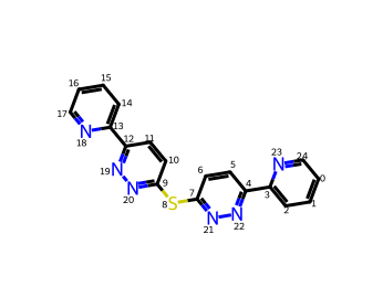 c1ccc(-c2ccc(Sc3ccc(-c4ccccn4)nn3)nn2)nc1